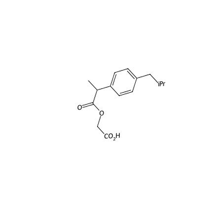 CC(C)Cc1ccc(C(C)C(=O)OCC(=O)O)cc1